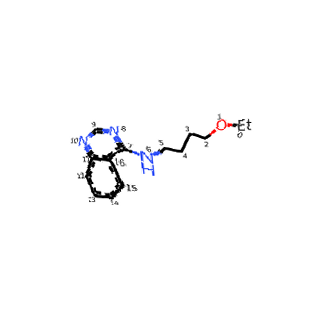 CCOCCCCNc1ncnc2ccccc12